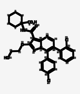 O=C(NC1(C(=O)O)CCCCC1)c1c(OCCO)nn2c(-c3ccc(Cl)cc3)c(-c3ccccc3Cl)cnc12